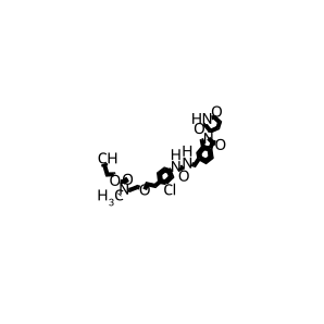 C#CCCOC(=O)N(C)CCOCCc1ccc(NC(=O)NCc2ccc3c(c2)CN(C2CCC(=O)NC2=O)C3=O)cc1Cl